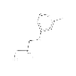 NNC(=O)CNc1cccc(I)c1